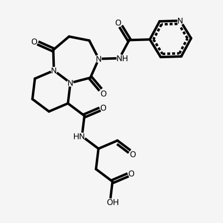 O=CC(CC(=O)O)NC(=O)C1CCCN2C(=O)CCN(NC(=O)c3cccnc3)C(=O)N12